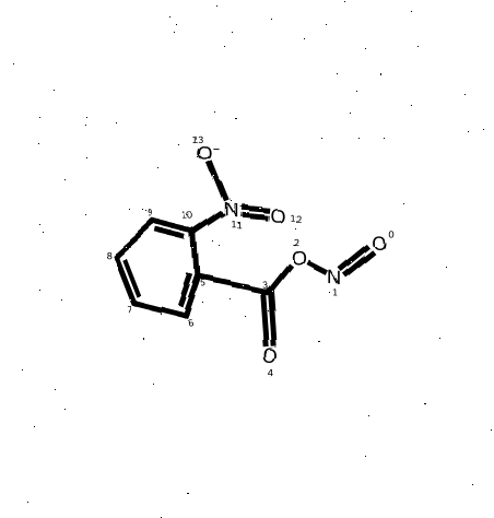 O=NOC(=O)c1ccccc1[N+](=O)[O-]